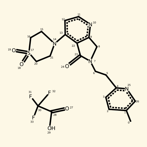 Cc1ccc(CCN2Cc3nccc(N4CCS(=O)(=O)CC4)c3C2=O)nc1.O=C(O)C(F)(F)F